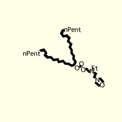 CCCCC/C=C\C/C=C\CCCCCCCCC(CCCCCCCC/C=C\C/C=C\CCCCC)OC(=O)OCCN(CC)CCN1CCOCC1